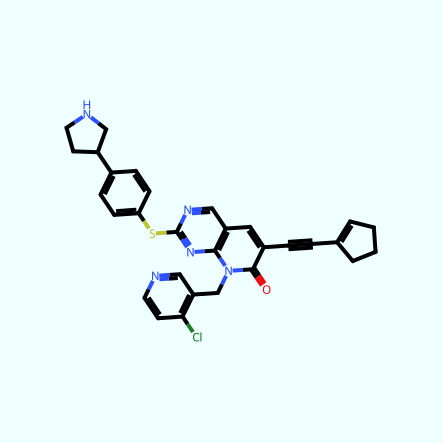 O=c1c(C#CC2=CCCC2)cc2cnc(Sc3ccc(C4CCNC4)cc3)nc2n1Cc1cnccc1Cl